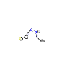 CCN(C/C=C/C#CC(C)(C)C)CCN(C)C/C=C/c1cccc(-c2ccsc2)c1